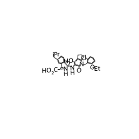 CCOc1cccc(Cl)c1Cn1c2c(c(O)c(NC(=O)N[C@@H](CC(=O)O)c3cccc(CC(C)C)c3)c1=O)CCC2